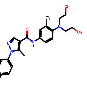 Cc1c(C(=O)Nc2ccc(N(CCO)CCO)c(C#N)c2)cnn1-c1ccc(F)cc1